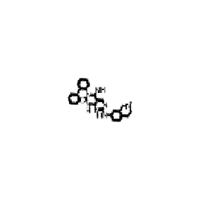 CN1CCc2ccc(Nc3ncc4c(=N)n(-c5ccccc5-c5ccccc5)c(=O)[nH]c4n3)cc2C1